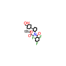 CC(C)(C)OC(=O)CN(C(=O)c1c(F)cc(F)cc1F)c1cccc(-c2ccc(CO)cc2)c1